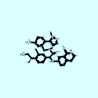 Cc1cc(C(Nc2ccc3cc[nH]c(=O)c3c2)C(=O)N(C)Cc2cc(N)ccc2-c2ccnn2C)ccc1[C@@H](C)CO